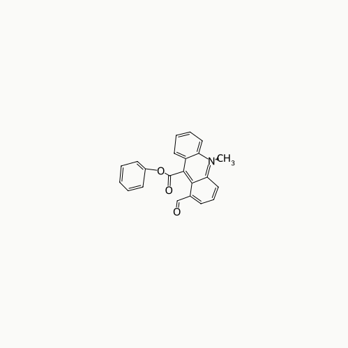 C[n+]1c2ccccc2c(C(=O)Oc2ccccc2)c2c(C=O)cccc21